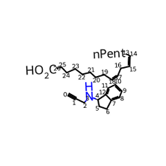 C#CCN[C@@H]1CCc2ccccc21.CCCCC/C=C\C/C=C\CCCCCCCC(=O)O